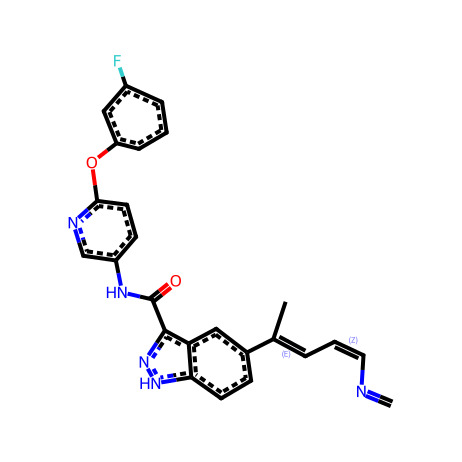 C=N/C=C\C=C(/C)c1ccc2[nH]nc(C(=O)Nc3ccc(Oc4cccc(F)c4)nc3)c2c1